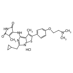 CC1=C(Nc2nc(CC3CC3)nc3sc(-c4ccc(OCCN(C)C)cc4)c(C)c23)C(=O)NC1=O.Cl